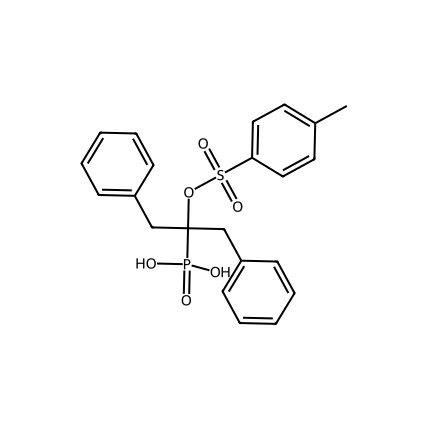 Cc1ccc(S(=O)(=O)OC(Cc2ccccc2)(Cc2ccccc2)P(=O)(O)O)cc1